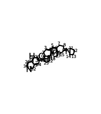 CC12CC=C3C=C4CC[C@@H](N5CCCC5)C[C@]45CC[C@]3(O5)[C@@H]1CCC2c1ccc2ccncc2c1